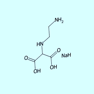 NCCNC(C(=O)O)C(=O)O.[NaH]